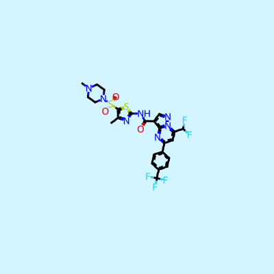 Cc1nc(NC(=O)c2cnn3c(C(F)F)cc(-c4ccc(C(F)(F)F)cc4)nc23)sc1S(=O)(=O)N1CCN(C)CC1